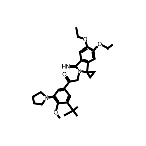 CCOc1cc2c(cc1OCC)C1(CC1)N(CC(=O)c1cc(N3CCCC3)c(OC)c(C(C)(C)C)c1)C2=N